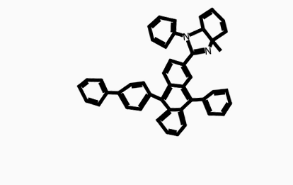 CC12C=CC=CC1N(c1ccccc1)C(c1ccc3c(-c4ccc(-c5ccccc5)cc4)c4ccccc4c(-c4ccccc4)c3c1)=N2